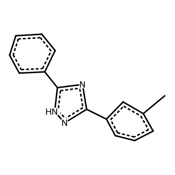 Cc1cccc(-c2n[nH]c(-c3ccccc3)n2)c1